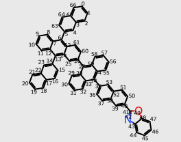 c1ccc2cc(-c3c4ccccc4c(-c4ccc5ccccc5c4)c4cc(-c5c6ccccc6c(-c6ccc7cc(-c8nc9ccccc9o8)ccc7c6)c6ccccc56)ccc34)ccc2c1